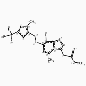 COC(=O)Cc1csc2c(F)c(OCc3cc(C(F)(F)F)nn3C)cc(C)c12